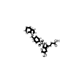 COc1cnc2c(c1)c(CCC(=O)O)nn2S(=O)(=O)c1ccc(Cn2ccc3cccnc32)cc1